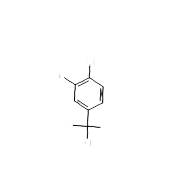 Oc1ccc(C(Cl)(Cl)Cl)cc1F